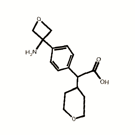 NC1(c2ccc(C(C(=O)O)C3CCOCC3)cc2)COC1